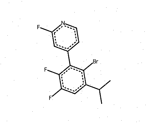 CC(C)c1cc(F)c(F)c(-c2ccnc(F)c2)c1Br